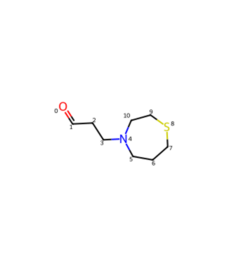 O=CCCN1CCCSCC1